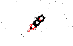 O=C1OC2C3CC(C2O1)[C@H]1C2CCC(O2)C31